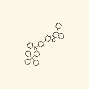 C1=CCC2C(=C1)C(c1ccccc1)(c1ccccc1)c1cc(N(c3ccccc3)c3ccc(-c4ccc5c(c4)oc4c6ccccc6c(-c6ccccc6)cc54)cc3)ccc12